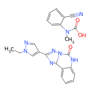 CCn1cc(-c2nc3c4ccccc4[nH]c(=O)n3n2)cn1.CN(C(=O)O)c1ccccc1C#N